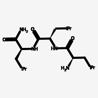 CC(C)C[C@H](NC(=O)[C@H](CC(C)C)NC(=O)[C@@H](N)CC(C)C)C(N)=O